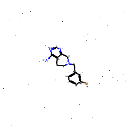 Nc1ncnc2c1CCN(Cc1cccc(Br)c1)C2